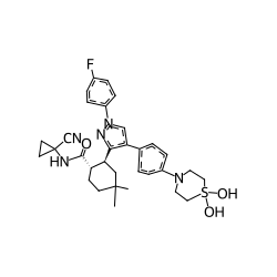 CC1(C)CC[C@H](C(=O)NC2(C#N)CC2)[C@@H](c2nn(-c3ccc(F)cc3)cc2-c2ccc(N3CCS(O)(O)CC3)cc2)C1